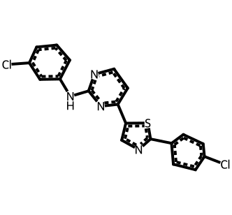 Clc1ccc(-c2ncc(-c3ccnc(Nc4cccc(Cl)c4)n3)s2)cc1